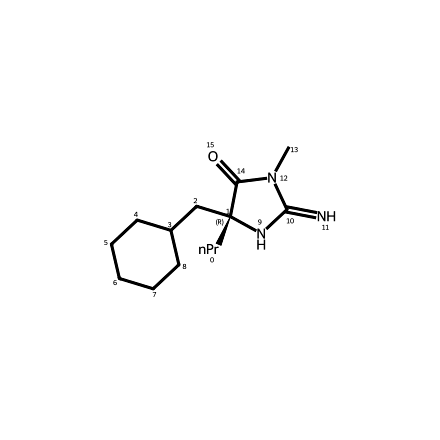 CCC[C@]1(CC2CCCCC2)NC(=N)N(C)C1=O